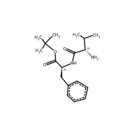 CC(C)[C@H](N)C(=O)N[C@@H](Cc1ccccc1)C(=O)OC(C)(C)C